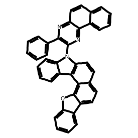 c1ccc(-c2nc3ccc4ccccc4c3nc2-n2c3ccccc3c3c4c(ccc5c6ccccc6oc54)ccc32)cc1